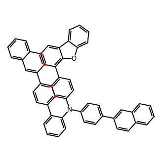 c1ccc(N(c2ccc(-c3ccc4ccccc4c3)cc2)c2ccc(-c3cccc4c3oc3ccccc34)cc2)c(-c2ccc(-c3ccc4ccccc4c3)cc2)c1